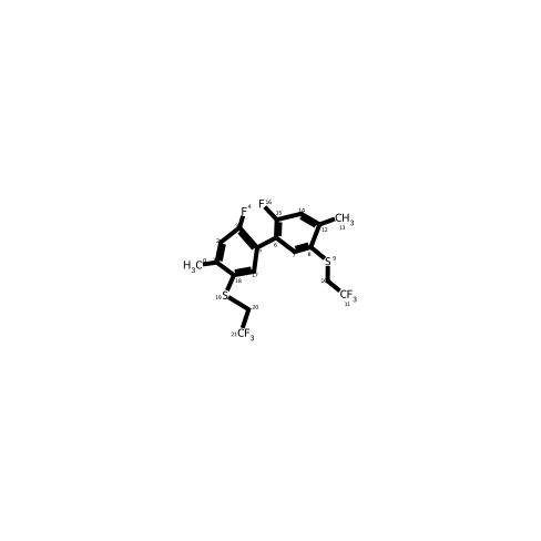 Cc1cc(F)c(-c2cc(SCC(F)(F)F)c(C)cc2F)cc1SCC(F)(F)F